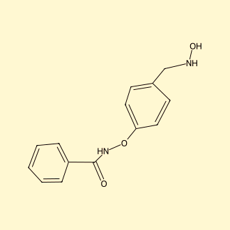 O=C(NOc1ccc(CNO)cc1)c1ccccc1